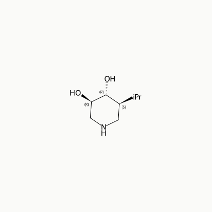 CC(C)[C@H]1CNC[C@@H](O)[C@@H]1O